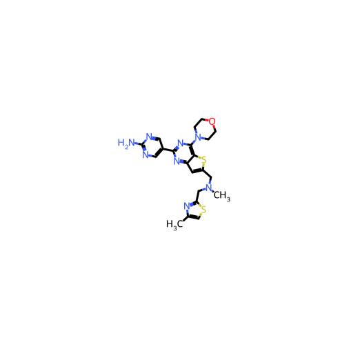 Cc1csc(CN(C)Cc2cc3nc(-c4cnc(N)nc4)nc(N4CCOCC4)c3s2)n1